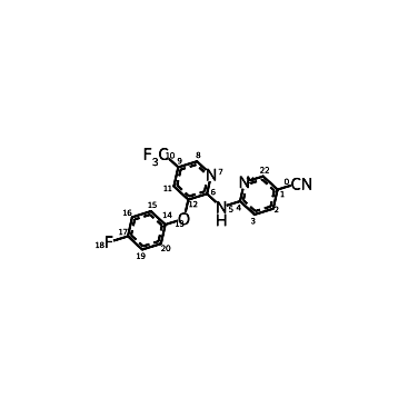 N#Cc1ccc(Nc2ncc(C(F)(F)F)cc2Oc2ccc(F)cc2)nc1